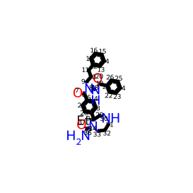 CCC1(c2ccc(C(=O)N(CCCc3ccccc3)NC(=O)c3ccccc3)cc2)CNCCCN1C(N)=O